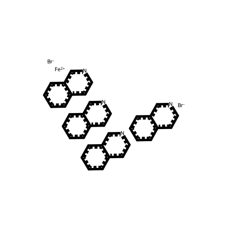 [Br-].[Br-].[Fe+2].c1ccc2cnccc2c1.c1ccc2cnccc2c1.c1ccc2cnccc2c1.c1ccc2cnccc2c1